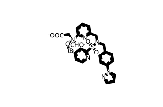 CC(C)(C)O[N+]([C]=O)(CC(=O)[O-])c1cccc(CN(Cc2ccc(-n3cccn3)cc2)S(=O)(=O)c2ccccn2)n1